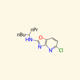 CCCCC(CCC)Nc1nc2nc(Cl)ccc2o1